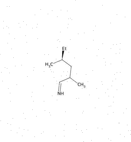 CC[C@H](C)CC(C)C=N